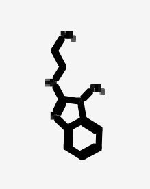 Cn1c(NCCN)nc2ccccc21